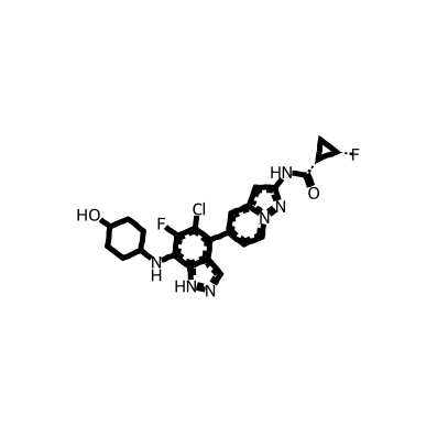 O=C(Nc1cc2cc(-c3c(Cl)c(F)c(NC4CCC(O)CC4)c4[nH]ncc34)ccn2n1)[C@@H]1C[C@@H]1F